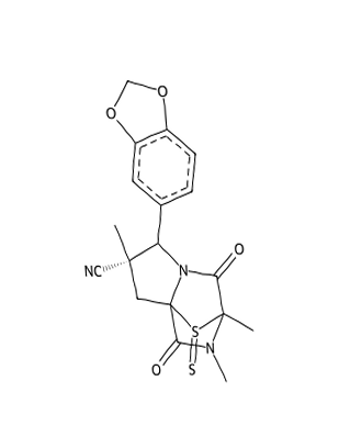 CN1C(=O)C23C[C@](C)(C#N)C(c4ccc5c(c4)OCO5)N2C(=O)C1(C)S3=S